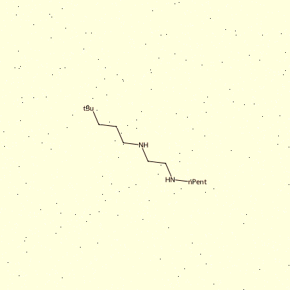 CCCCCNCCNCCCC(C)(C)C